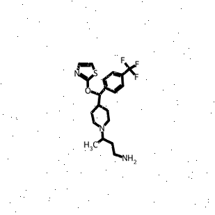 CC(CCN)N1CCC(C(Oc2nccs2)c2ccc(C(F)(F)F)cc2)CC1